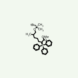 COC(=O)C(CCCC(C)CO[Si](C)(C)C(C)(C)C)=P(c1ccccc1)(c1ccccc1)c1ccccc1